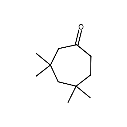 CC1(C)CCC(=O)CC(C)(C)C1